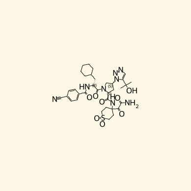 CC(C)(O)c1cnnn1[C@H]1C[C@@H](C(=O)NC2(C(=O)C(N)=O)CCS(=O)(=O)CC2)N(C(=O)[C@@H](CC2CCCCC2)NC(=O)c2ccc(C#N)cc2)C1